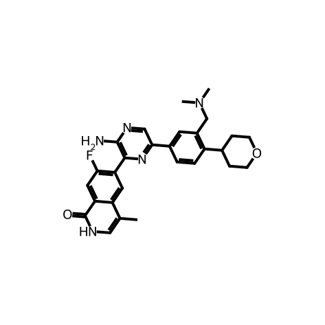 Cc1c[nH]c(=O)c2cc(F)c(-c3nc(-c4ccc(C5CCOCC5)c(CN(C)C)c4)cnc3N)cc12